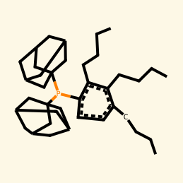 CCCCc1ccc(P(C23CC4CC(CC(C4)C2)C3)C23CC4CC(CC(C4)C2)C3)c(CCCC)c1CCCC